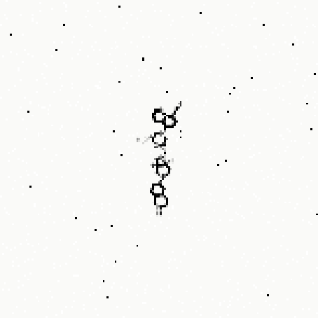 C[C@@H]1CN(c2ccc(C#N)c3ncccc23)C[C@H](CN2C[C@H]3CN(c4ccc5c(n4)CCNC5)CC[C@@H]32)O1